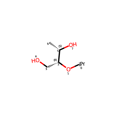 CC(C)O[C@H](CO)[C@H](C)O